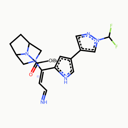 CC(C)COC(=O)N1C2CCC1CN(/C(=C/C=N)c1cc(-c3cnn(C(F)F)c3)c[nH]1)C2